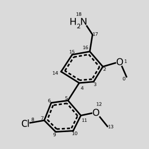 COc1cc(-c2cc(Cl)ccc2OC)ccc1CN